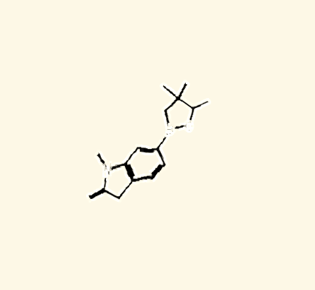 C=C1Cc2ccc(B3CC(C)(C)C(C)O3)cc2N1C